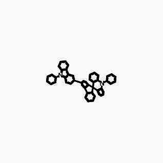 c1ccc(N2c3ccccc3C3(c4ccccc4-c4cc(-c5ccc6c(c5)c5ccccc5n6-c5ccccc5)ccc43)c3ccccc32)cc1